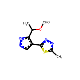 Cc1nnc(-c2cn[nH]c2C(C)OC=O)s1